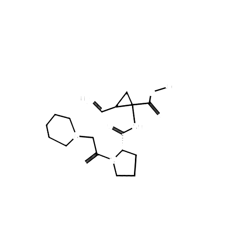 C=CC1CC1(NC(=O)[C@@H]1CCCN1C(=O)CN1CCCCC1)C(=C)OCC